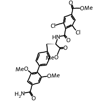 COC(=O)c1cc(Cl)c(C(=O)N[C@@H](Cc2ccc(-c3c(OC)cc(C(N)=O)cc3OC)cc2)C(=O)OC)c(Cl)c1